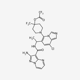 CC(NC(=O)c1c(N)nn2cccnc12)c1cc(Cl)c2cncn2c1N1CCC(OC(=O)C(F)(F)F)(C(F)(F)F)CC1